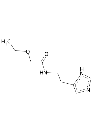 CCOCC(=O)NCCc1cnc[nH]1